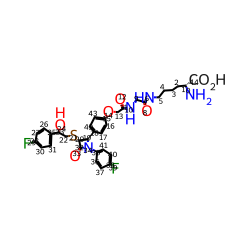 N[C@H](CCCCNC(=O)CNC(=O)COc1ccc([C@@H]2[C@@H](SC[C@H](O)c3ccc(F)cc3)C(=O)N2c2ccc(F)cc2)cc1)C(=O)O